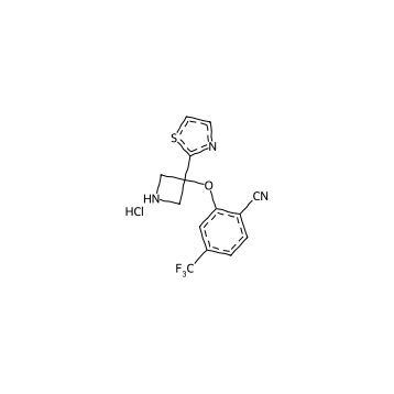 Cl.N#Cc1ccc(C(F)(F)F)cc1OC1(c2nccs2)CNC1